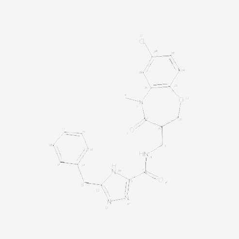 CN1C(=O)C(CNC(=O)c2nnc(Cc3ccccc3)[nH]2)COc2ccc(Cl)cc21